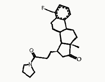 C[C@]12CCC3c4cccc(F)c4CCC3C1[C@H](CCC(=O)N1CCCC1)CC2=O